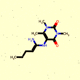 CCC/C=C(\N)Nc1c(C)n(C)c(=O)n(C)c1=O